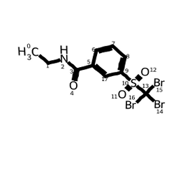 CCNC(=O)c1cccc(S(=O)(=O)C(Br)(Br)Br)c1